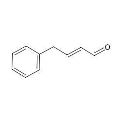 O=C/C=C/Cc1ccccc1